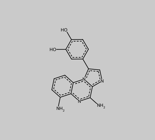 Nc1cccc2c1nc(N)c1ncc(-c3ccc(O)c(O)c3)n12